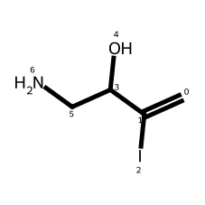 C=C(I)C(O)CN